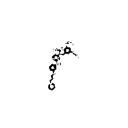 COc1cc(CN(C(=O)O)c2ccnc(Nc3cccc(OCCCN4CCCCC4)c3)n2)cc(OC)c1